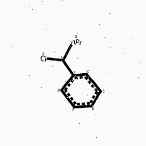 CCCC(Cl)c1ccccc1